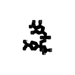 O=[N+]([O-])c1ccc(C(O)(COS(=O)(=O)Cc2cc(Cl)c([N+](=O)[O-])c(Cl)c2)CC(Cl)Cl)cc1